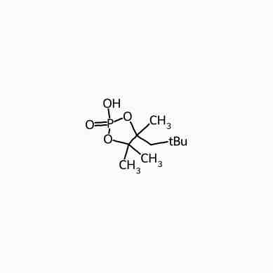 CC(C)(C)CC1(C)OP(=O)(O)OC1(C)C